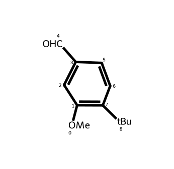 COc1cc(C=O)ccc1C(C)(C)C